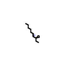 CCCCC/C=C/C(=O)CC